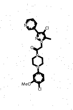 COc1cc(N2CCN(C(=O)Cn3nc(-c4cccnc4)c(Cl)c3C)CC2)ccc1Cl